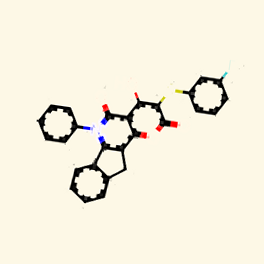 O=c1oc2c3c(n(-c4ccccc4)c(=O)c2c(O)c1Sc1cccc(F)c1)-c1ccccc1C3